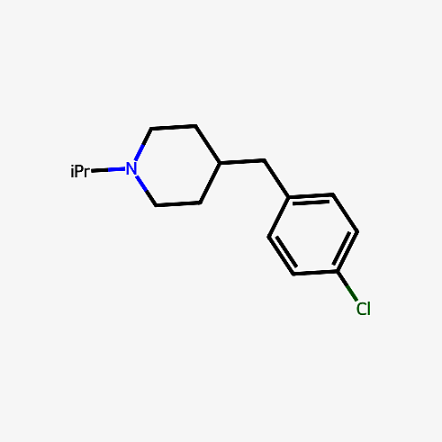 CC(C)N1CCC(Cc2ccc(Cl)cc2)CC1